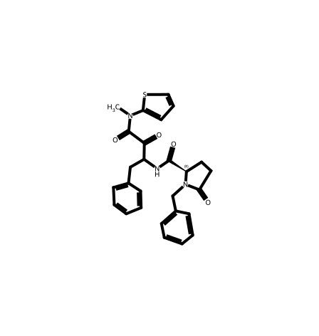 CN(C(=O)C(=O)C(Cc1ccccc1)NC(=O)[C@H]1CCC(=O)N1Cc1ccccc1)c1cccs1